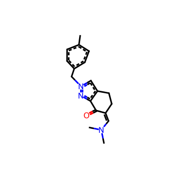 Cc1ccc(Cn2cc3c(n2)C(=O)C(=CN(C)C)CC3)cc1